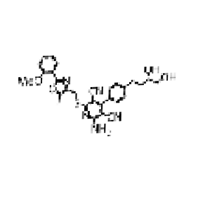 COc1ccccc1-c1nc(CSc2nc(N)c(C#N)c(-c3ccc(CC[C@H](O)CO)cc3)c2C#N)c(C)o1